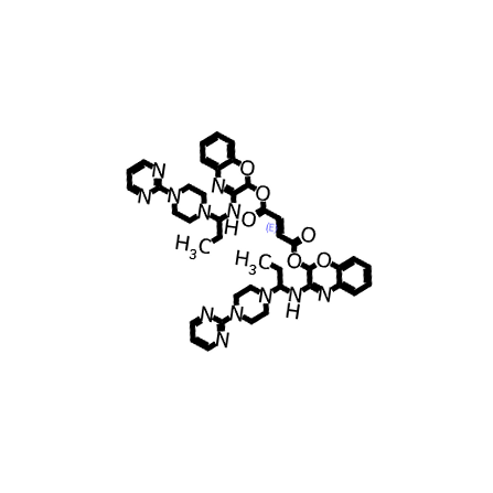 CCC(NC1=Nc2ccccc2OC1OC(=O)/C=C/C(=O)OC1Oc2ccccc2N=C1NC(CC)N1CCN(c2ncccn2)CC1)N1CCN(c2ncccn2)CC1